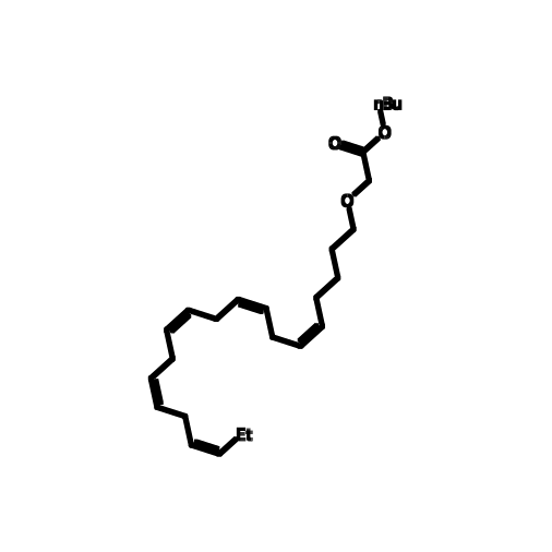 CC/C=C\C/C=C\C/C=C\C/C=C\C/C=C\CCCCOCC(=O)OCCCC